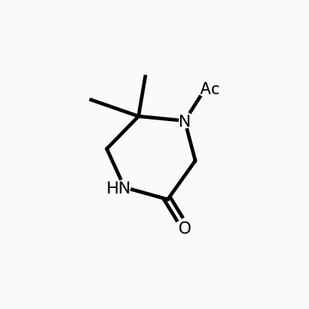 CC(=O)N1CC(=O)NCC1(C)C